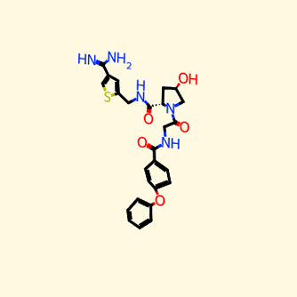 N=C(N)c1csc(CNC(=O)[C@@H]2C[C@@H](O)CN2C(=O)CNC(=O)c2ccc(Oc3ccccc3)cc2)c1